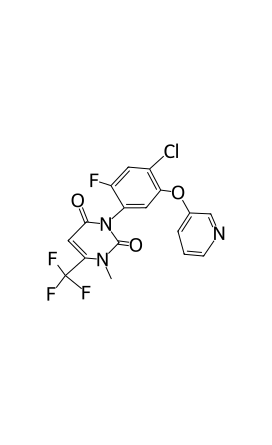 Cn1c(C(F)(F)F)cc(=O)n(-c2cc(Oc3cccnc3)c(Cl)cc2F)c1=O